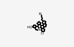 CN(C)CCCCC1CC=c2ccc3c(c2C1)C(c1ccccc1C1C=NC=Cc2cc(O)ccc21)C=c1cc(Cl)ccc1=3